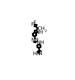 C=C(c1cc2ccc(-c3nccc(Nc4ccc(-c5cn[nH]c5)cc4)n3)cc2[nH]1)C1CC(F)(F)C1